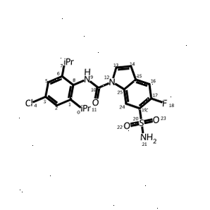 CC(C)c1cc(Cl)cc(C(C)C)c1NC(=O)n1ccc2cc(F)c(S(N)(=O)=O)cc21